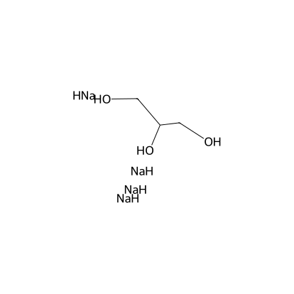 OCC(O)CO.[NaH].[NaH].[NaH].[NaH]